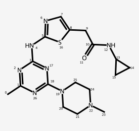 Cc1nc(Nc2ncc(CC(=O)NC3CC3)s2)nc(N2CCN(C)CC2)n1